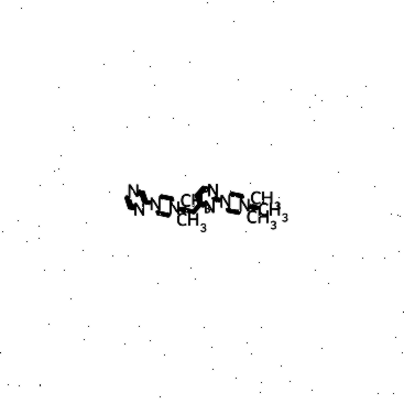 CC(C)(C)N1CCN(c2nccc(CC(C)(C)N3CCN(c4cnccn4)CC3)n2)CC1